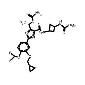 COC(=O)NC1CC(NC(=O)c2nc(-c3ccc(OC(F)F)c(OCC4CC4)c3)oc2[C@H](C)OC(N)=O)C1